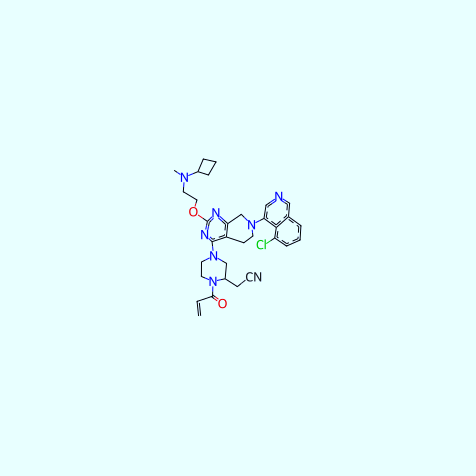 C=CC(=O)N1CCN(c2nc(OCCN(C)C3CCC3)nc3c2CCN(c2cncc4cccc(Cl)c24)C3)CC1CC#N